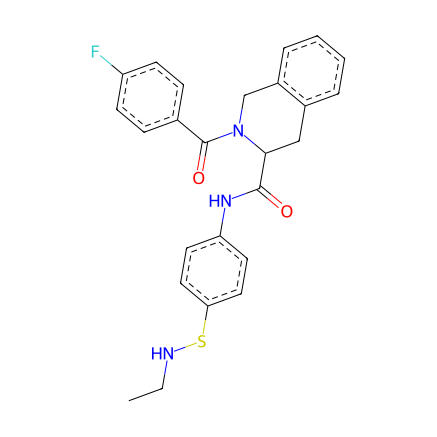 CCNSc1ccc(NC(=O)C2Cc3ccccc3CN2C(=O)c2ccc(F)cc2)cc1